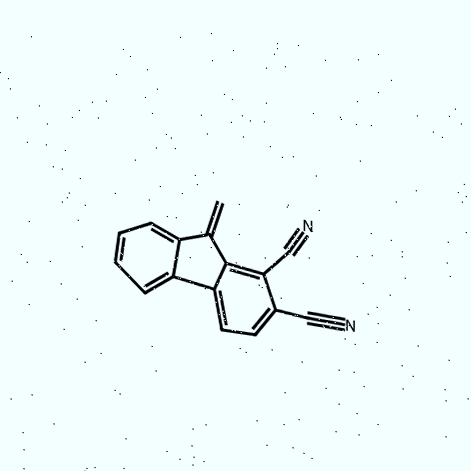 C=C1c2ccccc2-c2ccc(C#N)c(C#N)c21